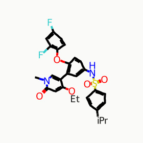 CCOc1cc(=O)n(C)cc1-c1cc(NS(=O)(=O)c2ccc(C(C)C)cc2)ccc1Oc1ccc(F)cc1F